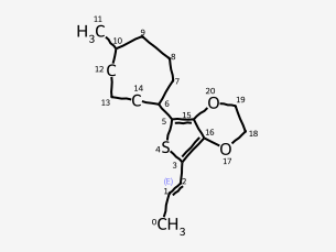 C/C=C/c1sc(C2CCCC(C)CCC2)c2c1OCCO2